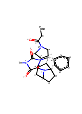 CC(C)N1C(=O)N(C)C(=O)C12CC1CCC(C2)N1C[C@H]1CN(C(=O)CC(C)(C)C)C[C@@H]1c1ccccc1